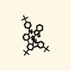 CC(C)(C)c1ccc(N2c3cccc4c3B(c3sc5ccccc5c32)n2c3ccc(C(C)(C)C)cc3c3cc(C(C)(C)C)cc-4c32)cc1